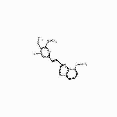 COc1cc(/C=C/c2ccc3cccc(OC)c3n2)cc(Br)c1OC